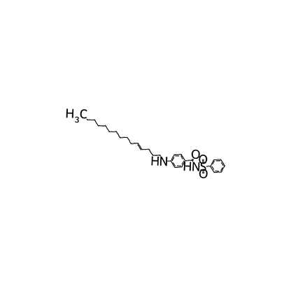 CCCCCCCCCC/C=C/CCCNc1ccc(C(=O)NS(=O)(=O)c2ccccc2)cc1